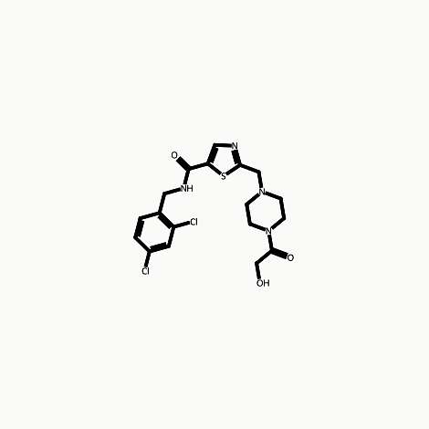 O=C(NCc1ccc(Cl)cc1Cl)c1cnc(CN2CCN(C(=O)CO)CC2)s1